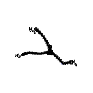 CCCCCCCC/C=C\CCCCCCCCCCCC(=O)O[C@@H](COC(=O)CCCCCCCCCCCCCCCCC)COC(=O)CCCCCCCCCCCCCCCCCCCCC